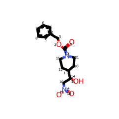 O=C(OCc1ccccc1)N1CCC(C(O)C[N+](=O)[O-])CC1